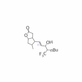 CCCCC(C(O)/C=C/C1C(C)CC2OC(=O)CC21)C(F)(F)F